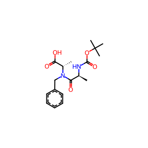 C[C@H](NC(=O)OC(C)(C)C)C(=O)N(Cc1ccccc1)[C@@H](C)C(=O)O